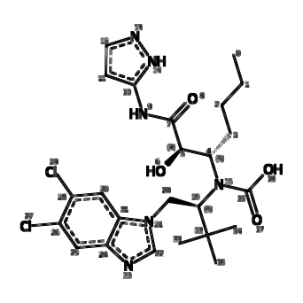 CCCC[C@@H]([C@@H](O)C(=O)Nc1ccn[nH]1)N(C(=O)O)[C@H](Cn1cnc2cc(Cl)c(Cl)cc21)C(C)(C)C